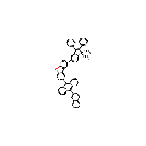 CC1(C)c2ccc(-c3ccc4oc5ccc(-c6c7ccccc7c(-c7ccc8ccccc8c7)c7ccccc67)cc5c4c3)cc2-c2c1c1ccccc1c1ccccc21